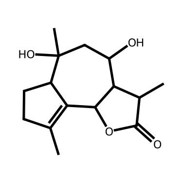 CC1=C2C3OC(=O)C(C)C3C(O)CC(C)(O)C2CC1